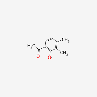 CC(=O)c1ccc(C)c(C)c1[O]